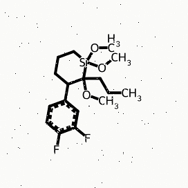 CCCC1(OC)C(c2ccc(F)c(F)c2)CCC[Si]1(OC)OC